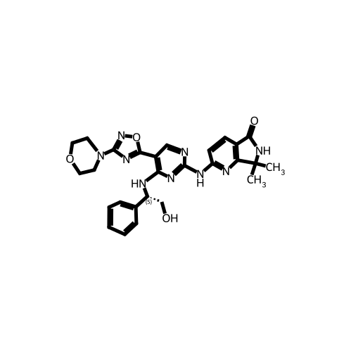 CC1(C)NC(=O)c2ccc(Nc3ncc(-c4nc(N5CCOCC5)no4)c(N[C@H](CO)c4ccccc4)n3)nc21